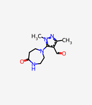 Cc1nn(C)c(N2CCNC(=O)CC2)c1C=O